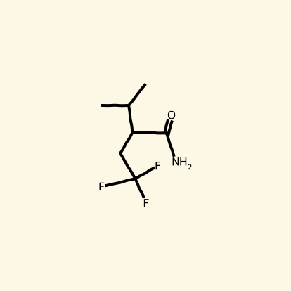 CC(C)C(CC(F)(F)F)C(N)=O